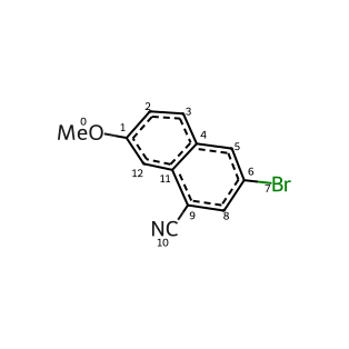 COc1ccc2cc(Br)cc(C#N)c2c1